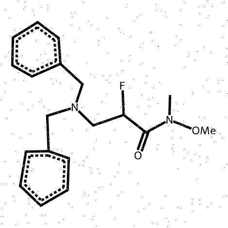 CON(C)C(=O)C(F)CN(Cc1ccccc1)Cc1ccccc1